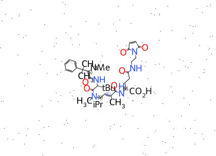 CN[C@H](C(=O)NC(C(=O)N(C)[C@H](/C=C(\C)C(=O)N[C@H](CCC(=O)NCCN1C(=O)C=CC1=O)C(=O)O)C(C)C)C(C)(C)C)C(C)(C)c1ccccc1